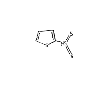 S=[SH](=S)c1cccs1